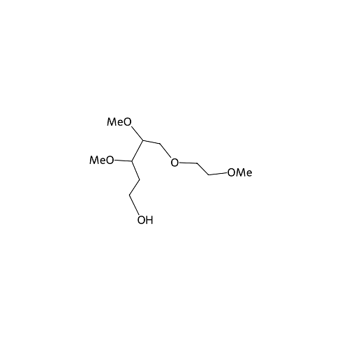 COCCOCC(OC)C(CCO)OC